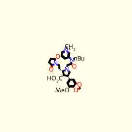 CCCCN(C(=O)CN1C[C@H](c2cc(OC)c3c(c2)OCO3)[C@@H](C(=O)O)[C@@H]1CCN1C(=O)CCC1=O)c1ccc[n+](C)c1